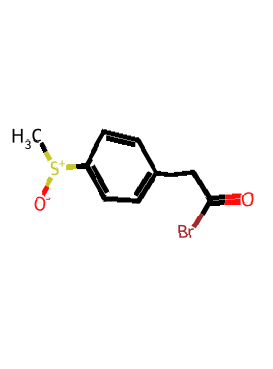 C[S+]([O-])c1ccc(CC(=O)Br)cc1